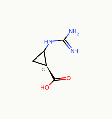 N=C(N)NC1C[C@@H]1C(=O)O